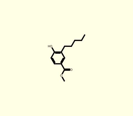 CCCCCc1cc(C(=O)OC)ccc1O